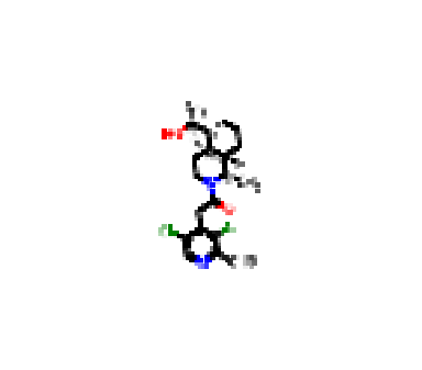 C[C@H]1[C@H]2CCC[C@@H]([C@H](O)C(F)(F)F)[C@@H]2CCN1C(=O)Cc1c(Cl)cnc(C=O)c1Cl